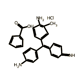 Cc1cc(C(=C2C=CC(=N)C=C2)c2ccc(N)cc2)ccc1N.Cl.O=C(O)c1ccccc1